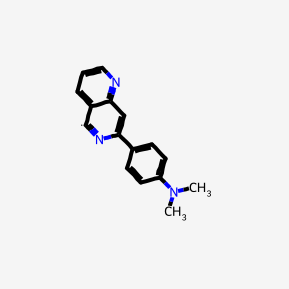 CN(C)c1ccc(-c2cc3ncccc3[c]n2)cc1